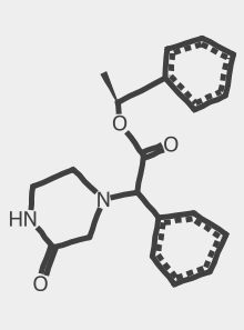 C[C@H](OC(=O)C(c1ccccc1)N1CCNC(=O)C1)c1ccccc1